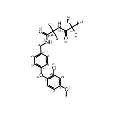 COc1ccc(Oc2ccc(CNC(=O)C(C)(C)NC(=O)C(F)(F)F)cc2)c(Cl)c1